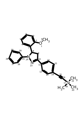 COc1ccccc1C1CC(c2ccc(C#C[Si](C)(C)C)cc2)=NN1c1ccccc1